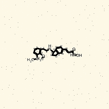 COc1cccc(CCNC2CCc3cc(C=CC(=O)NO)ccc32)c1OC